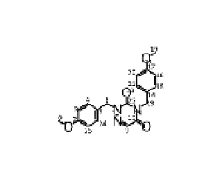 COc1ccc(Cn2ncc(=O)n(Cc3ccc(OC)cc3)c2=O)cc1